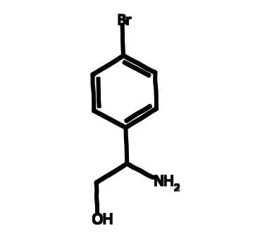 NC(CO)c1ccc(Br)cc1